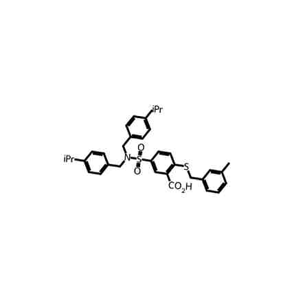 Cc1cccc(CSc2ccc(S(=O)(=O)N(Cc3ccc(C(C)C)cc3)Cc3ccc(C(C)C)cc3)cc2C(=O)O)c1